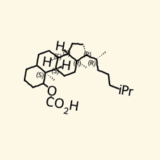 CC(C)CCC[C@@H](C)[C@H]1CC[C@H]2[C@@H]3CCC4CCCC(OC(=O)O)[C@]4(C)[C@H]3CC[C@]12C